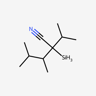 CC(C)C(C)C([SiH3])(C#N)C(C)C